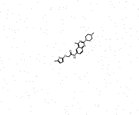 Cc1ccc(OCC(=O)Nc2ccc3nc(N4CCN(C)CC4)nc(C)c3c2)s1